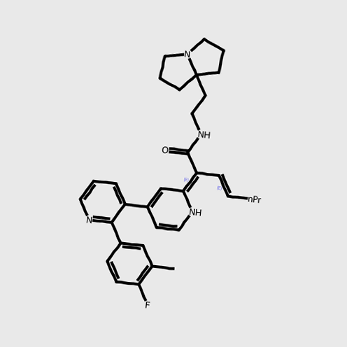 CCC/C=C/C(C(=O)NCCC12CCCN1CCC2)=C1/C=C(c2cccnc2-c2ccc(F)c(C)c2)C=CN1